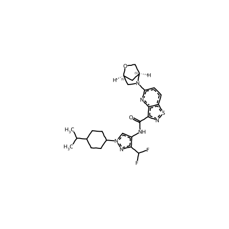 CC(C)C1CCC(n2cc(NC(=O)c3nsc4ccc(N5C[C@@H]6C[C@H]5CO6)nc34)c(C(F)F)n2)CC1